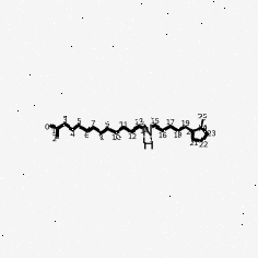 CC(C)CCCCCCCCCCCNCCCCCC1CCC[C@@H]1C